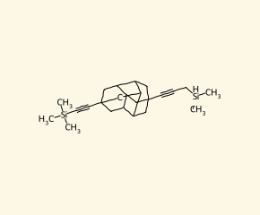 C[SiH](C)CC#CC12CC3C4CC5(C#C[Si](C)(C)C)CC3C(C1)C(C5)C4C2